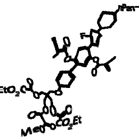 C=C(C)C(=O)Oc1cc(-c2ccc(C3CCC(CCCCC)CC3)cc2F)c(OC(=O)C(=C)C)cc1-c1ccc(OCC(COC(=O)C(=O)OC)(COC(=O)C(=O)OCC)COC(=O)C(=O)OCC)cc1